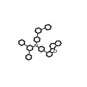 c1ccc(-c2cccc(-c3ccc(N(c4ccc(-c5cccc6oc7c8ccccc8ccc7c56)cc4)c4cc(-c5ccccc5)cc(-c5ccccc5)c4)cc3)c2)cc1